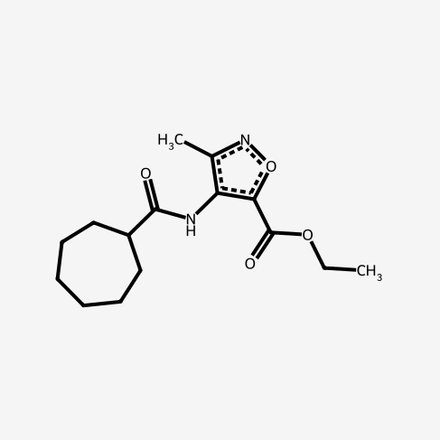 CCOC(=O)c1onc(C)c1NC(=O)C1CCCCCC1